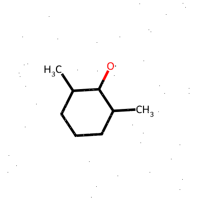 CC1CCCC(C)C1[O]